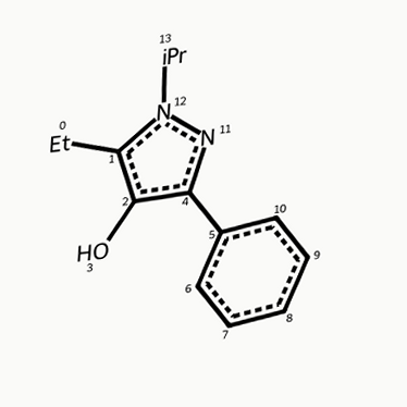 CCc1c(O)c(-c2ccccc2)nn1C(C)C